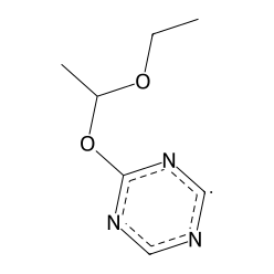 CCOC(C)Oc1n[c]ncn1